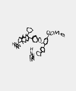 COC(=O)c1ccc(-c2ccc(Cl)cc2)c(COc2ccc(-c3cnc4c(-c5nnn[nH]5)cnn4c3C3CCCCC3)cc2)c1.c1nnn[nH]1